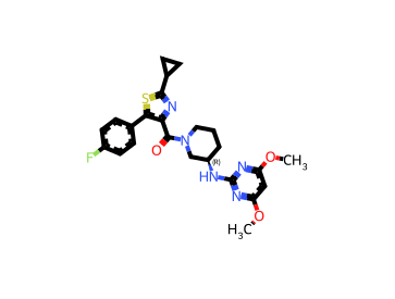 COc1cc(OC)nc(N[C@@H]2CCCN(C(=O)c3nc(C4CC4)sc3-c3ccc(F)cc3)C2)n1